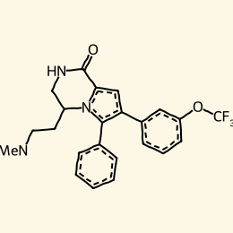 CNCCC1CNC(=O)c2cc(-c3cccc(OC(F)(F)F)c3)c(-c3ccccc3)n21